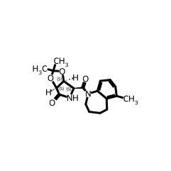 Cc1cccc2c1CCCCN2C(=O)[C@H]1NC(=O)[C@H]2OC(C)(C)O[C@@H]12